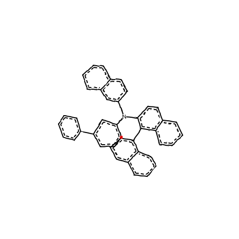 c1ccc(-c2cccc(N(c3ccc4ccccc4c3)c3ccc4ccccc4c3-c3cccc4ccccc34)c2)cc1